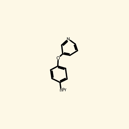 CCCc1ccc(Oc2cccnc2)cc1